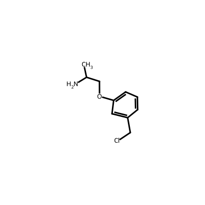 CC(N)COc1cccc(CCl)c1